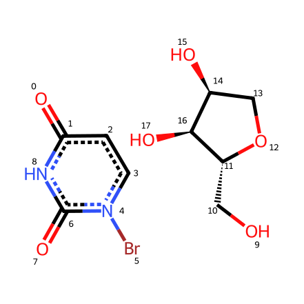 O=c1ccn(Br)c(=O)[nH]1.OC[C@H]1OC[C@H](O)[C@@H]1O